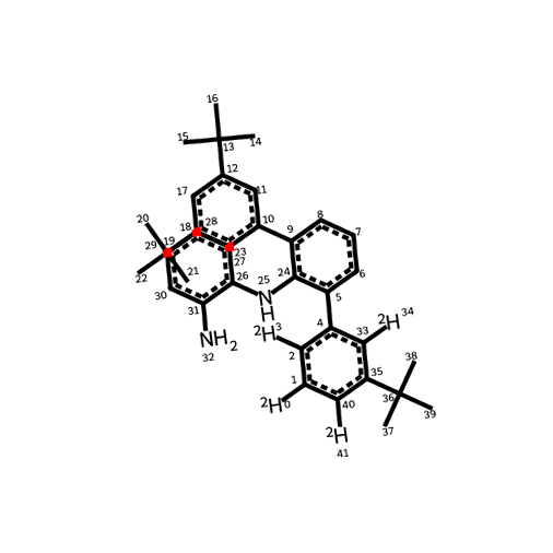 [2H]c1c([2H])c(-c2cccc(-c3cc(C(C)(C)C)cc(C(C)(C)C)c3)c2Nc2ccccc2N)c([2H])c(C(C)(C)C)c1[2H]